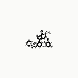 Cn1ccc2c(-c3cc(CS(=O)(=O)N4CCOCC4)ccc3Oc3ccc(F)cc3F)c[nH]c2c1=O